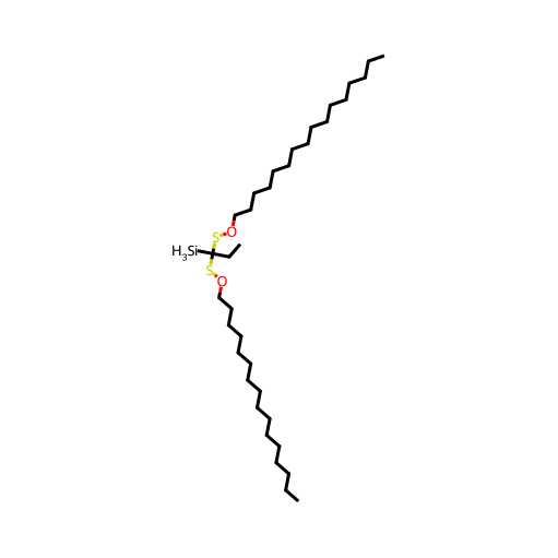 CCCCCCCCCCCCCCCCOSC([SiH3])(CC)SOCCCCCCCCCCCCCCCC